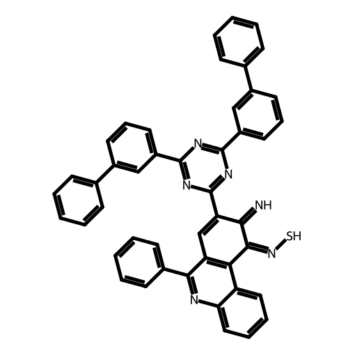 N=C1C(c2nc(-c3cccc(-c4ccccc4)c3)nc(-c3cccc(-c4ccccc4)c3)n2)=Cc2c(-c3ccccc3)nc3ccccc3c2/C1=N/S